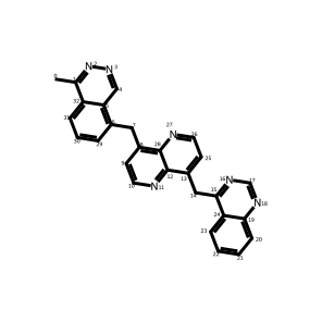 Cc1nncc2c(Cc3ccnc4c(Cc5ncnc6ccccc56)ccnc34)cccc12